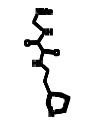 CNCNC(=O)C(=O)NCCc1cccnc1